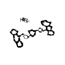 Br.c1ccc2c(COc3ccc(OCc4c5ccccc5cc5ccccc45)cc3)c3ccccc3cc2c1